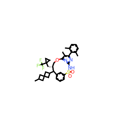 Cc1cccc(C)c1-c1nc2nc(c1C)OC[C@@H](CC1(C(F)(F)F)CC1)C(C1CC3(CC(C)C3)C1)c1cccc(c1)S(=O)(=O)N2